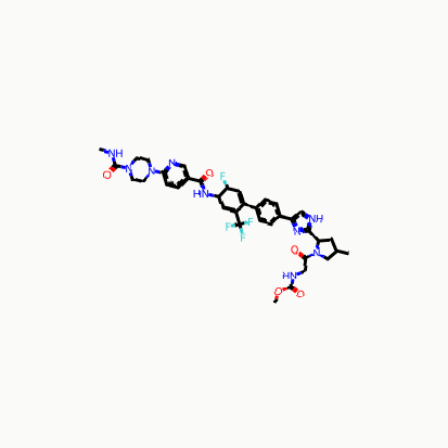 CNC(=O)N1CCN(c2ccc(C(=O)NC3C=C(C(F)(F)F)C(c4ccc(-c5c[nH]c(C6CC(C)CN6C(=O)CNC(=O)OC)n5)cc4)=CC3F)cn2)CC1